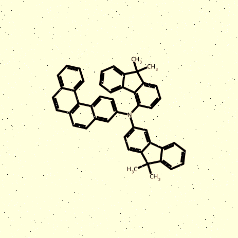 CC1(C)c2ccccc2-c2cc(N(c3ccc4c(ccc5ccc6ccccc6c54)c3)c3cccc4c3-c3ccccc3C4(C)C)ccc21